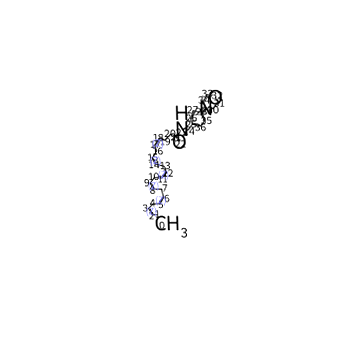 CC/C=C\C/C=C\C/C=C\C/C=C\C/C=C\C/C=C\CCC(=O)NCc1ccc(N2CCOCC2)cc1